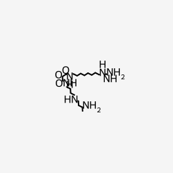 COC(C(=O)NCCCCCCCCNC(=N)N)C(=O)NCCCCNCCC(C)N